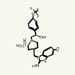 Cl.Cl.N=c1sc2cc(Cl)ccc2n1CC1CCN(C[C@H](O)c2ccc(OC(F)(F)F)cc2)CC1